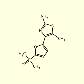 Cc1sc(N)nc1-c1ccc(P(C)(C)=O)o1